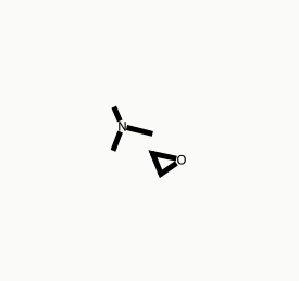 C1CO1.CN(C)C